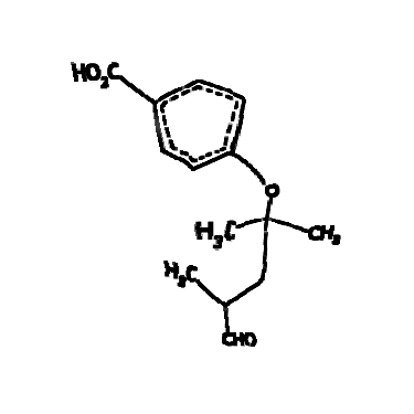 CC(C=O)CC(C)(C)Oc1ccc(C(=O)O)cc1